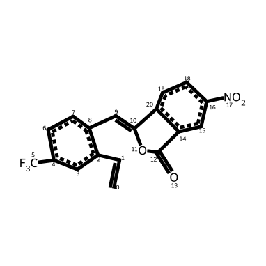 C=Cc1cc(C(F)(F)F)ccc1C=C1OC(=O)c2cc([N+](=O)[O-])ccc21